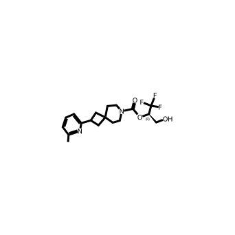 Cc1cccc(C2CC3(CCN(C(=O)O[C@H](CO)C(F)(F)F)CC3)C2)n1